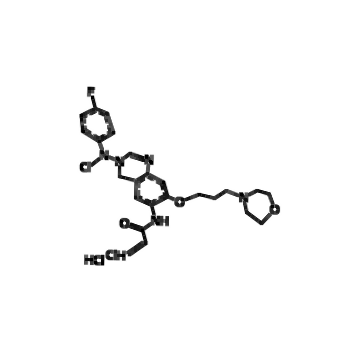 C=CC(=O)Nc1cc2c(cc1OCCCN1CCOCC1)N=CN(N(Cl)c1ccc(F)cc1)C2.Cl.Cl